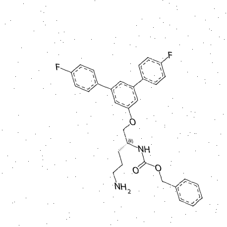 NCCC[C@H](COc1cc(-c2ccc(F)cc2)cc(-c2ccc(F)cc2)c1)NC(=O)OCc1ccccc1